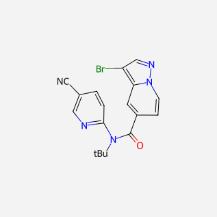 CC(C)(C)N(C(=O)c1ccn2ncc(Br)c2c1)c1ccc(C#N)cn1